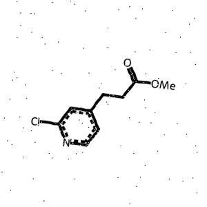 COC(=O)CCc1ccnc(Cl)c1